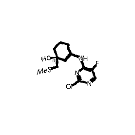 CSC[C@]1(O)CCCC(Nc2nc(Cl)ncc2F)C1